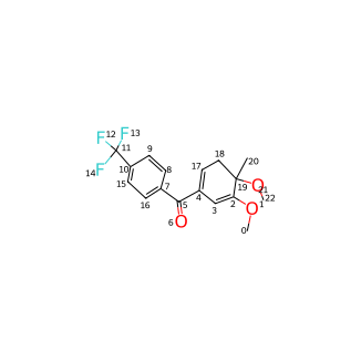 COC1=CC(C(=O)c2ccc(C(F)(F)F)cc2)=CCC1(C)OC